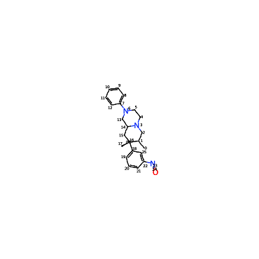 CC1CN2CCN(c3ccccc3)CC2C[C@@]1(C)c1cccc(N=O)c1